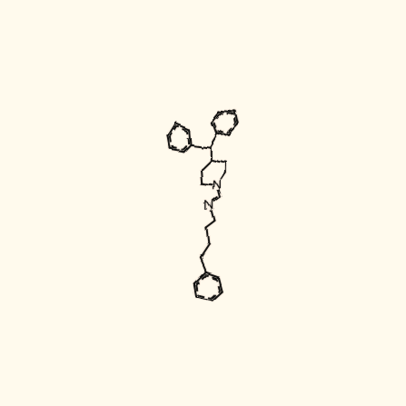 C(=NCCCCc1ccccc1)N1CCC(C(c2ccccc2)c2ccccc2)CC1